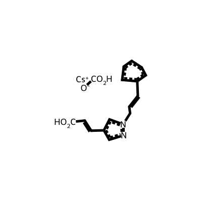 O=C(O)C=Cc1cnn(CC=Cc2ccccc2)c1.O=C([O-])O.[Cs+]